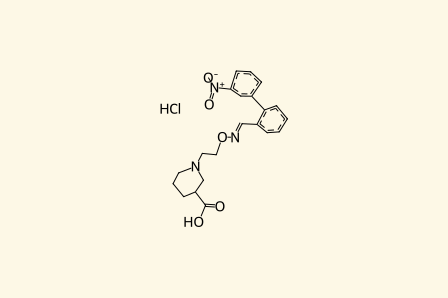 Cl.O=C(O)C1CCCN(CCON=Cc2ccccc2-c2cccc([N+](=O)[O-])c2)C1